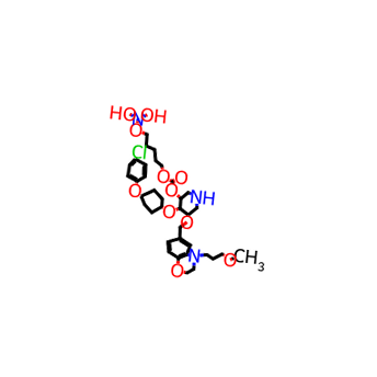 COCCCN1CCOc2ccc(COC3CNCC(OC(=O)OCCCCCON(O)O)C3OC3CCC(Oc4ccc(Cl)cc4)CC3)cc21